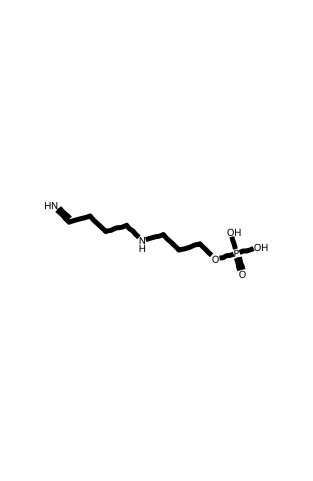 N=CCCCNCCCOP(=O)(O)O